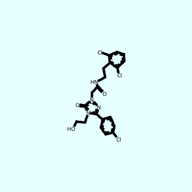 O=C(Cn1nc(-c2ccc(Cl)cc2)n(CCO)c1=O)NCCc1c(Cl)cccc1Cl